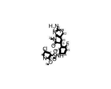 COc1ncc(Cl)cc1S(=O)(=O)Nc1ccc(F)c(-c2cc3cnc(N)nc3n(C)c2=O)c1